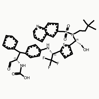 CC(C)(C)CCN([C@H](CO)c1ccc([C@@H](Nc2ccc(C(c3ccccc3)[C@@H](C=O)NC(=O)O)cc2)C(F)(F)F)s1)S(=O)(=O)c1ccc2ncccc2c1